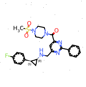 CS(=O)(=O)N1CCN(C(=O)c2cc(CN[C@@H]3C[C@H]3c3ccc(F)cc3)nc(-c3ccccc3)n2)CC1